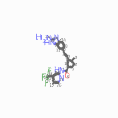 Cc1ccc(C(=O)Nc2cc(C(F)(F)F)ccn2)cc1C#Cc1ccc2nc(N)[nH]c2c1